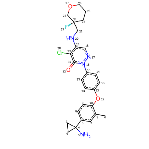 Cc1cc(C2(N)CC2)ccc1Oc1ccc(-n2ncc(NC[C@@]3(F)CCCOC3)c(Cl)c2=O)cc1